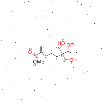 C=C(CCCC(CO)(CO)CO)C(=O)OC